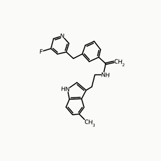 C=C(NCCc1c[nH]c2ccc(C)cc12)c1cccc(Cc2cncc(F)c2)c1